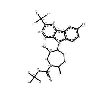 CC1CCC(n2c3ccc(Cl)cc3c3nc(C(F)(F)F)ncc32)[C@H](O)CN1C(=O)OC(C)(C)C